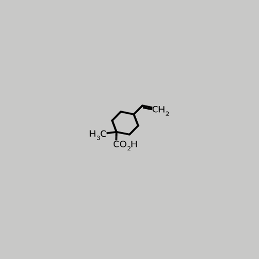 C=CC1CCC(C)(C(=O)O)CC1